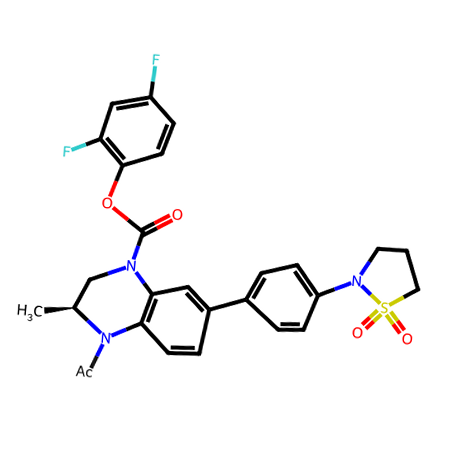 CC(=O)N1c2ccc(-c3ccc(N4CCCS4(=O)=O)cc3)cc2N(C(=O)Oc2ccc(F)cc2F)C[C@@H]1C